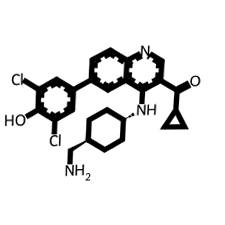 NC[C@H]1CC[C@H](Nc2c(C(=O)C3CC3)cnc3ccc(-c4cc(Cl)c(O)c(Cl)c4)cc23)CC1